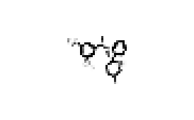 C[C@H]1CC[C@@](CO[C@H](C)c2cc(C(F)(F)F)cc(C(F)(F)F)c2)(c2ccccc2)NC1